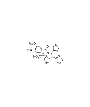 COc1cc(C(=O)N2[C@@H](c3cncs3)[C@@H](c3cnccn3)C[C@]2(CC(C)C)OC(=O)O)ccc1C(C)(C)C